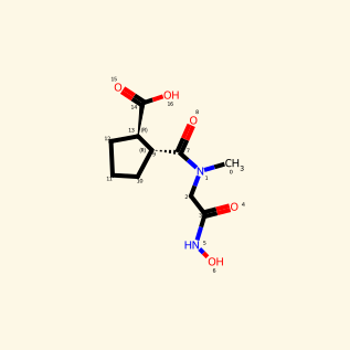 CN(CC(=O)NO)C(=O)[C@@H]1CCC[C@H]1C(=O)O